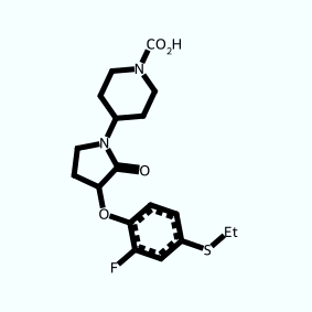 CCSc1ccc(OC2CCN(C3CCN(C(=O)O)CC3)C2=O)c(F)c1